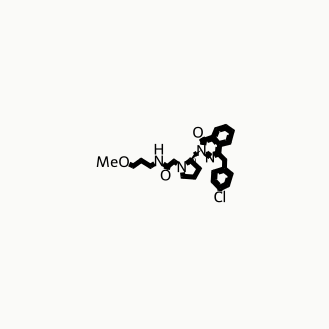 COCCCNC(=O)CN1CCC[C@@H]1Cn1nc(Cc2ccc(Cl)cc2)c2ccccc2c1=O